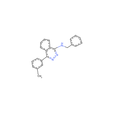 Cc1cccc(-c2nnc(NCc3ccccc3)c3ccccc23)c1